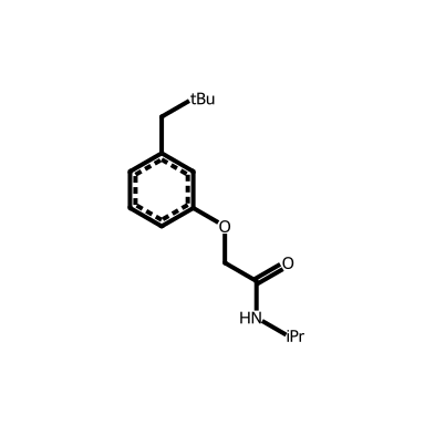 CC(C)NC(=O)COc1cccc(CC(C)(C)C)c1